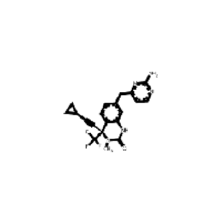 CN1C(=O)Nc2cc(Cc3ccnc(N)n3)ccc2[C@@]1(C#CC1CC1)C(F)(F)F